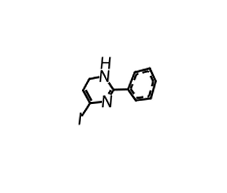 IC1=CCNC(c2ccccc2)=N1